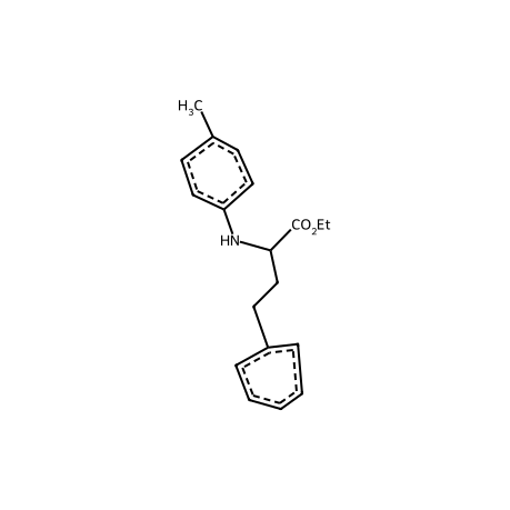 CCOC(=O)C(CCc1ccccc1)Nc1ccc(C)cc1